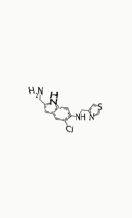 NCc1cc2cc(Cl)c(NCc3cscn3)cc2[nH]1